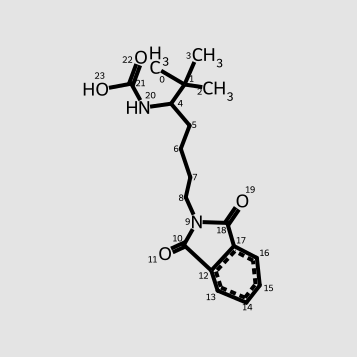 CC(C)(C)C(CCCCN1C(=O)c2ccccc2C1=O)NC(=O)O